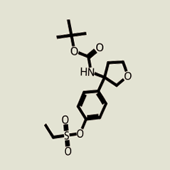 CCS(=O)(=O)Oc1ccc(C2(NC(=O)OC(C)(C)C)CCOC2)cc1